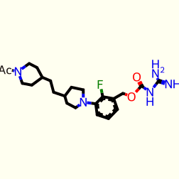 CC(=O)N1CCC(CCC2CCN(c3cccc(COC(=O)NC(=N)N)c3F)CC2)CC1